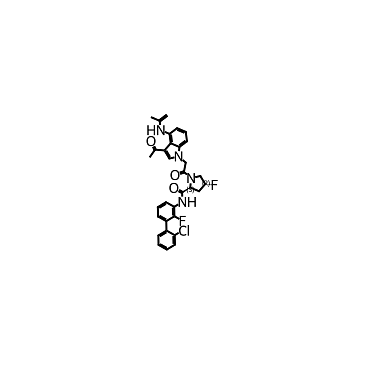 C=C(C)Nc1cccc2c1c(C(C)=O)cn2CC(=O)N1C[C@H](F)C[C@H]1C(=O)Nc1cccc(-c2ccccc2Cl)c1F